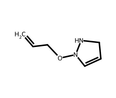 C=CCON1C=CCN1